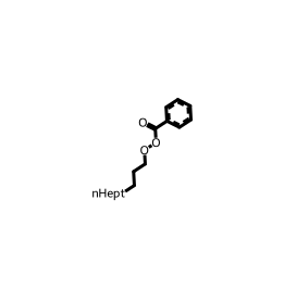 [CH2]CCCCCCCCCOOC(=O)c1ccccc1